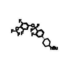 CCCC[C@H]1CC[C@H](c2ccc(C(F)(F)Oc3cc(F)c(OC(F)F)c(F)c3)c(F)c2)CC1